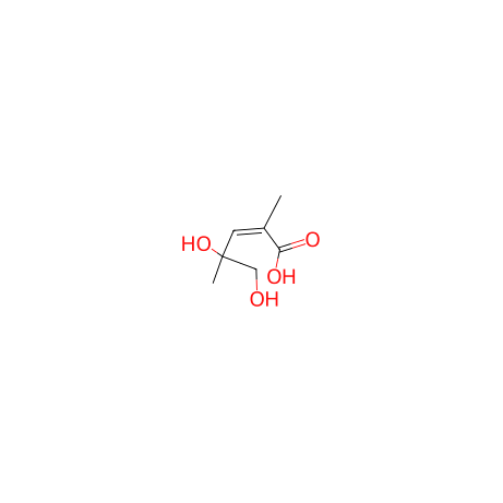 CC(=CC(C)(O)CO)C(=O)O